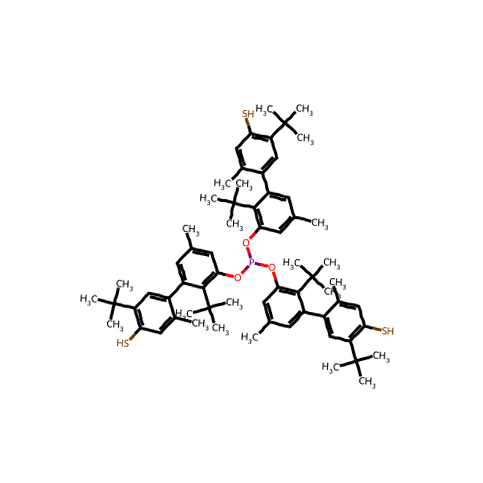 Cc1cc(OP(Oc2cc(C)cc(-c3cc(C(C)(C)C)c(S)cc3C)c2C(C)(C)C)Oc2cc(C)cc(-c3cc(C(C)(C)C)c(S)cc3C)c2C(C)(C)C)c(C(C)(C)C)c(-c2cc(C(C)(C)C)c(S)cc2C)c1